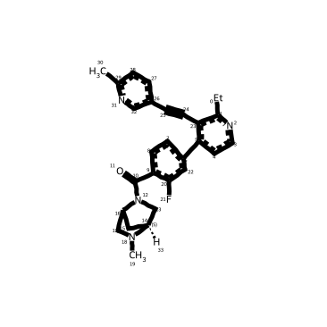 CCc1nccc(-c2ccc(C(=O)N3C[C@@H]4CC3CN4C)c(F)c2)c1C#Cc1ccc(C)nc1